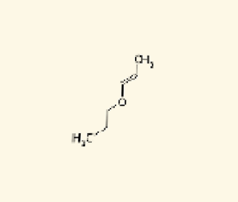 C/C=C/OCCC